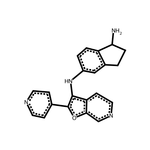 NC1CCc2cc(Nc3c(-c4ccncc4)oc4cnccc34)ccc21